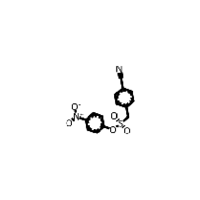 N#Cc1ccc(CS(=O)(=O)Oc2ccc([N+](=O)[O-])cc2)cc1